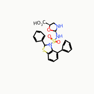 O=C(O)[C@H]1CN[C@@H](NS(=O)(=O)N2c3c(cccc3-c3ccccc3)SC2c2ccccc2)O1